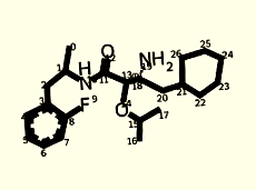 CC(Cc1ccccc1F)NC(=O)C(OC(C)C)[C@H](N)CC1CCCCC1